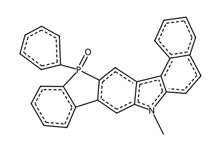 Cn1c2cc3c(cc2c2c4ccccc4ccc21)P(=O)(c1ccccc1)c1ccccc1-3